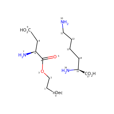 CCCCCCCCCCCCOC(=O)[C@@H](N)CC(=O)O.NCCCC[C@H](N)C(=O)O